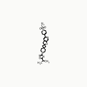 CC(C)c1nc(N2CCC3(CC2)CC2(Cc4cc(C5=CCN(S(C)(=O)=O)CC5)ncc4O2)C3)no1